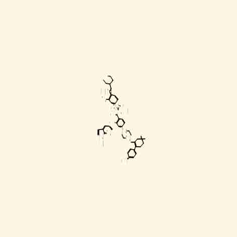 C[C@@H]1CN(c2ccc(C(=O)NS(=O)(=O)c3ccc(NCC4CCOCC4)c([N+](=O)[O-])c3)c(Oc3cnc4[nH]ccc4c3)c2)CCN1CC1=C(c2ccc(Cl)cc2)CCC(C)(C)C1